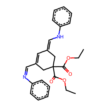 CCOC(=O)C1(C(=O)OCC)CC(/C=N\c2ccccc2)=CC(=C/Nc2ccccc2)/C1